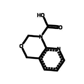 O=C(O)N1COCc2cccnc21